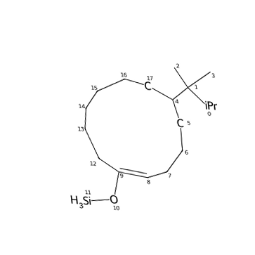 CC(C)C(C)(C)C1CCCC=C(O[SiH3])CCCCCC1